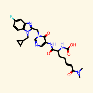 CN(C)C(=O)C=CCCC(NC(=O)O)C(=O)Nc1cncn(Cc2nc3cc(F)ccc3n2CC2CC2)c1=O